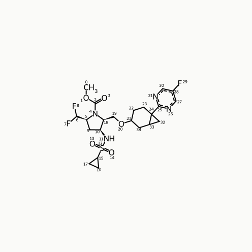 COC(=O)N1[C@H](C(F)F)C[C@H](NS(=O)(=O)C2CC2)[C@@H]1COC1CCC2(c3ncc(F)cn3)CC2C1